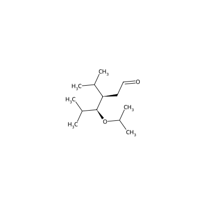 CC(C)O[C@@H](C(C)C)[C@H](CC=O)C(C)C